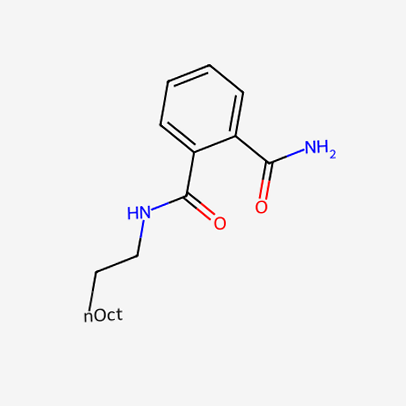 CCCCCCCCCCNC(=O)c1ccccc1C(N)=O